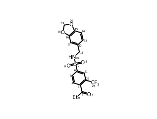 CCC(=O)c1ccc(S(=O)(=O)NCc2ccc3c(c2)OCO3)cc1C(F)(F)F